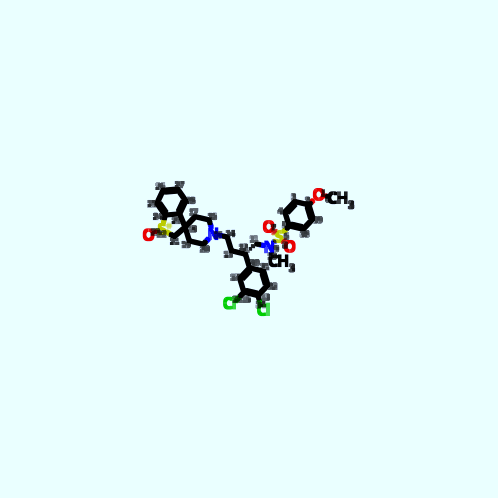 COc1ccc(S(=O)(=O)N(C)C[C@@H](CCN2CCC3(CC2)C[S+]([O-])c2ccccc23)c2ccc(Cl)c(Cl)c2)cc1